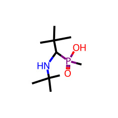 CC(C)(C)NC(C(C)(C)C)P(C)(=O)O